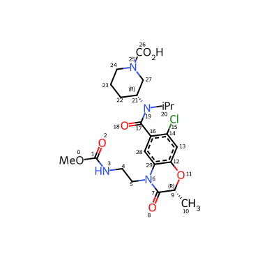 COC(=O)NCCN1C(=O)[C@@H](C)Oc2cc(Cl)c(C(=O)N(C(C)C)[C@@H]3CCCN(C(=O)O)C3)cc21